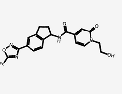 CCc1nc(-c2ccc3c(c2)CCC3NC(=O)c2ccn(CCO)c(=O)c2)no1